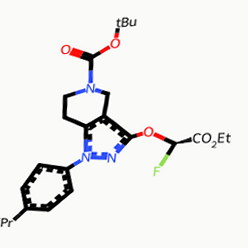 CCOC(=O)[C@@H](F)Oc1nn(-c2ccc(C(C)C)cc2)c2c1CN(C(=O)OC(C)(C)C)CC2